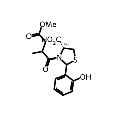 COC(=O)CC(C)C(=O)N1C(c2ccccc2O)SC[C@H]1C(=O)O